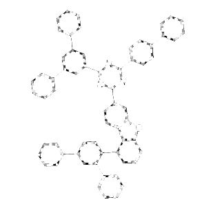 c1ccc(-c2ccc(-c3nc(-c4cc(-c5ccccc5)cc(-c5ccccc5)c4)nc(-c4ccc5c(c4)oc4cccc(-c6ccc(-c7ccccc7)cc6-c6ccccc6)c45)n3)cc2)cc1